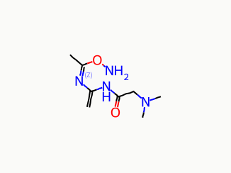 C=C(/N=C(/C)ON)NC(=O)CN(C)C